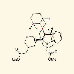 COC(=O)CN1CCC/C(=C2/N(CC(=O)OC)c3ccccc3N2[C@@H]2C[C@H]3CCC[C@@H](C2)N3[C@@H]2C[C@@H]3CCCC[C@@H](C3)C2)C1